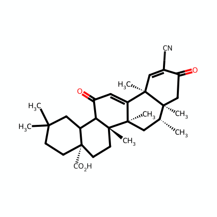 C[C@@H]1C[C@]2(C)C(=CC(=O)C3C4CC(C)(C)CC[C@]4(C(=O)O)CC[C@]32C)[C@@]2(C)C=C(C#N)C(=O)C[C@@]12C